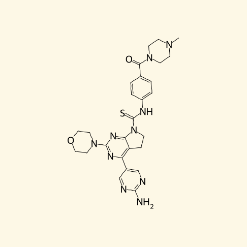 CN1CCN(C(=O)c2ccc(NC(=S)N3CCc4c(-c5cnc(N)nc5)nc(N5CCOCC5)nc43)cc2)CC1